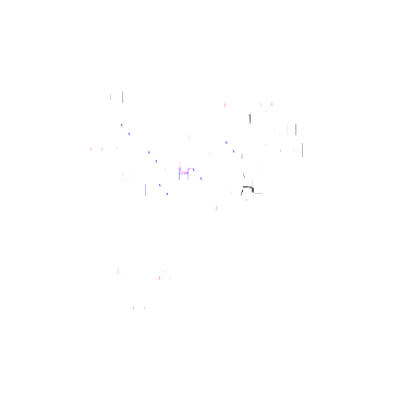 CCN1CCN(C(=O)NC(C(=O)N[C@]2(SC)C(=O)N3[C@@H](C(=O)OCc4ccccc4)C(C)(C)S[C@@H]32)c2ccc(OC(=O)OCc3ccccc3)cc2)C(=O)C1=O